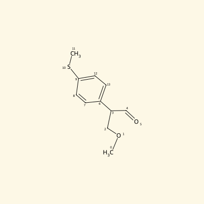 COCC(C=O)c1ccc(SC)cc1